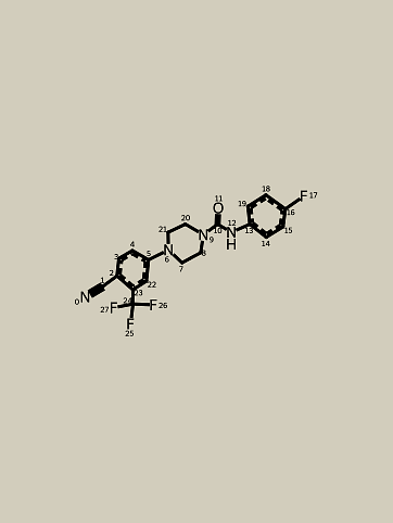 N#Cc1ccc(N2CCN(C(=O)Nc3ccc(F)cc3)CC2)cc1C(F)(F)F